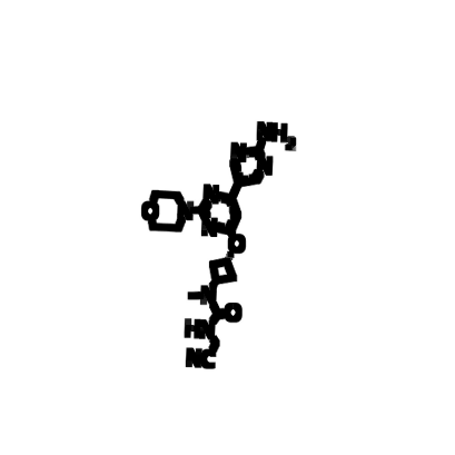 CN(C(=O)NCC#N)[C@H]1C[C@H](Oc2cc(-c3cnc(N)nc3)nc(N3CCOCC3)n2)C1